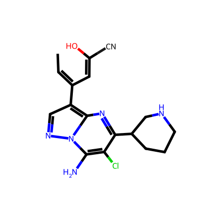 C/C=C(\C=C(/O)C#N)c1cnn2c(N)c(Cl)c(C3CCCNC3)nc12